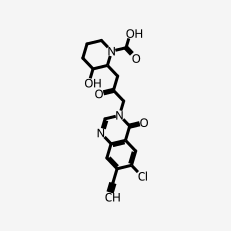 C#Cc1cc2ncn(CC(=O)CC3C(O)CCCN3C(=O)O)c(=O)c2cc1Cl